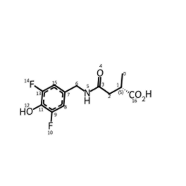 C[C@@H](CC(=O)NCc1cc(F)c(O)c(F)c1)C(=O)O